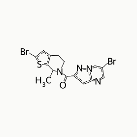 CC1c2sc(Br)cc2CCN1C(=O)c1cc2ncc(Br)cn2n1